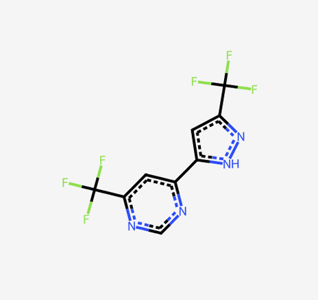 FC(F)(F)c1cc(-c2cc(C(F)(F)F)n[nH]2)ncn1